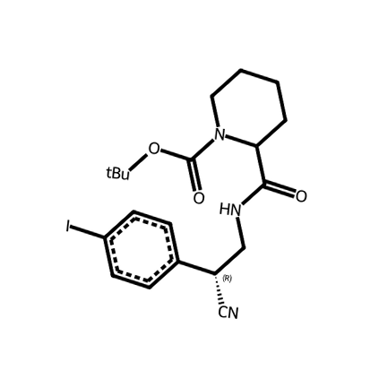 CC(C)(C)OC(=O)N1CCCCC1C(=O)NC[C@H](C#N)c1ccc(I)cc1